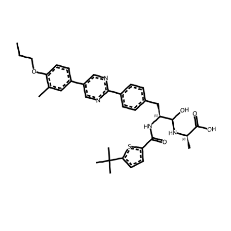 CCCOc1ccc(-c2cnc(-c3ccc(C[C@H](NC(=O)c4ccc(C(C)(C)C)s4)C(O)N[C@H](C)C(=O)O)cc3)nc2)cc1C